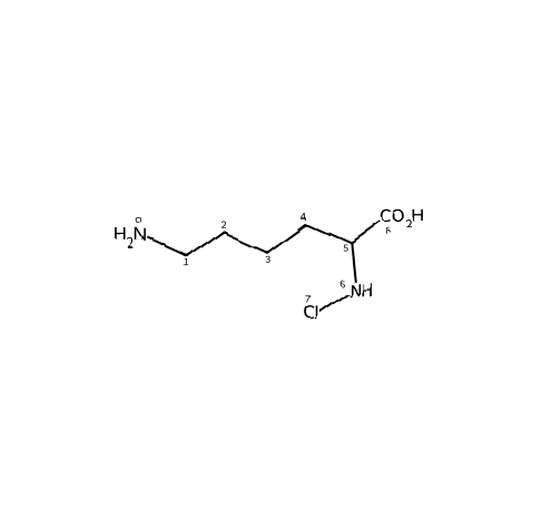 NCCCCC(NCl)C(=O)O